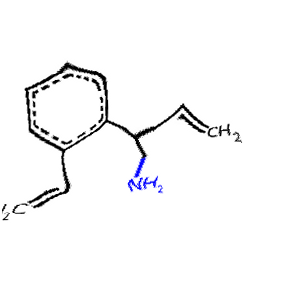 C=Cc1ccccc1C(N)C=C